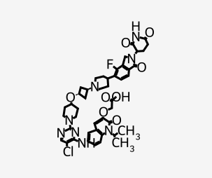 CC(C)n1c(=O)c(OCC(=O)O)cc2cc(Nc3nc(N4CCC(O[C@H]5C[C@H](N6CCC(c7ccc8c(c7F)CN(C7CCC(=O)NC7=O)C8=O)CC6)C5)CC4)ncc3Cl)ccc21